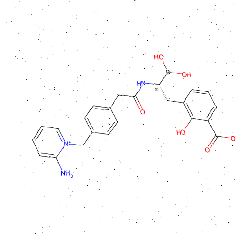 Nc1cccc[n+]1Cc1ccc(CC(=O)N[C@@H](Cc2cccc(C(=O)O)c2O)B(O)O)cc1